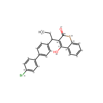 CCC(c1ccc(-c2ccc(Br)cc2)cc1)c1c(O)c2ccccc2sc1=O